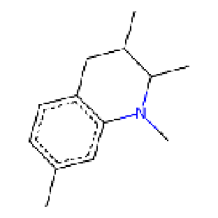 Cc1ccc2c(c1)N(C)C(C)C(C)C2